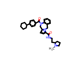 CN1CCCC1CCNC(=O)c1ccc2n1Cc1ccccc1N(C(=O)c1ccc(C3CCCCC3)cc1)C2